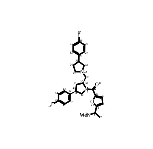 CNC(C)c1ccc(C(=O)N2C[C@@H](c3ccc(F)cc3)C[C@H]2CN2CCC(c3ccc(F)cc3)C2)o1